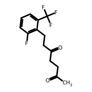 CC(=O)CCC(=O)CCc1c(F)cccc1C(F)(F)F